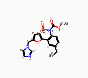 CCCCOC(=O)N(c1ccc(CC(C)C)cc1-c1ccc(Cn2ccnc2)o1)[SH](=O)=O